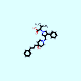 CC(C)C(C(=O)O)N1CC(CN2CCC(O)(CCCc3ccccc3)CC2)C(c2ccccc2)C1